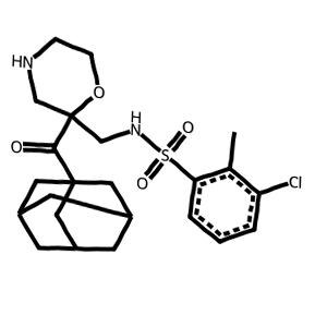 Cc1c(Cl)cccc1S(=O)(=O)NCC1(C(=O)C23CC4CC(CC(C4)C2)C3)CNCCO1